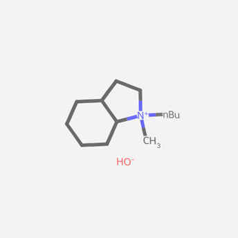 CCCC[N+]1(C)CCC2CCCCC21.[OH-]